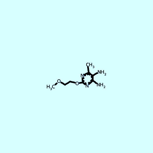 COCCOc1nc(C)c(N)c(N)n1